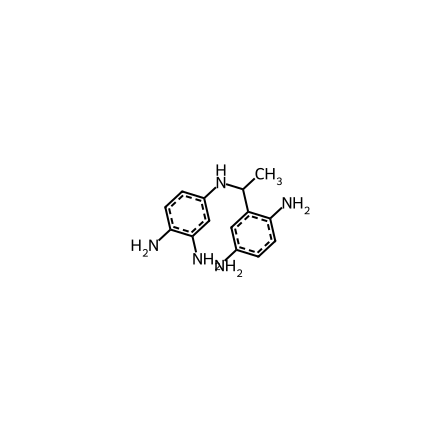 CC(Nc1ccc(N)c(N)c1)c1cc(N)ccc1N